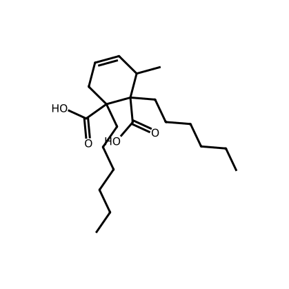 CCCCCCC1(C(=O)O)CC=CC(C)C1(CCCCCC)C(=O)O